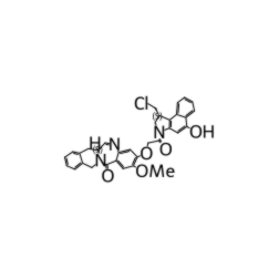 COc1cc2c(cc1OCC(=O)N1C[C@@H](CCl)c3c1cc(O)c1ccccc31)N=C[C@@H]1Cc3ccccc3CN1C2=O